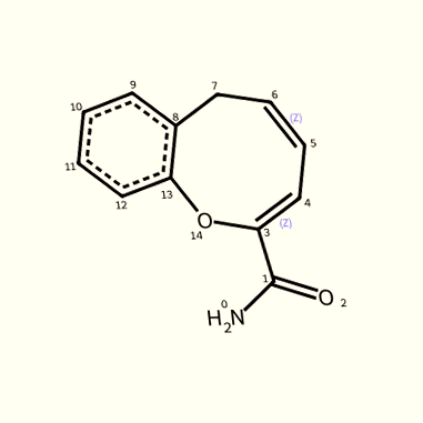 NC(=O)/C1=C/C=C\Cc2ccccc2O1